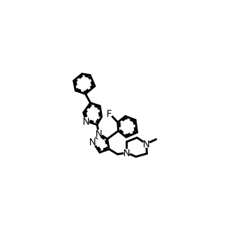 CN1CCN(Cc2cnn(-c3ccc(-c4ccccc4)cn3)c2-c2ccccc2F)CC1